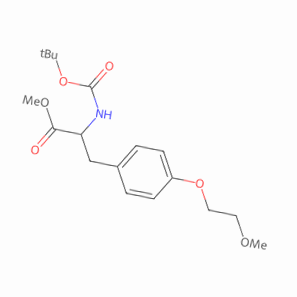 COCCOc1ccc(CC(NC(=O)OC(C)(C)C)C(=O)OC)cc1